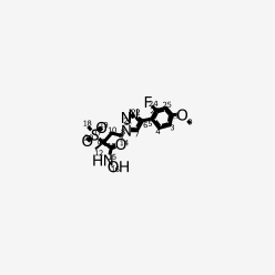 COc1ccc(-c2cn(CC[C@](C)(C(=O)NO)S(C)(=O)=O)nn2)c(F)c1